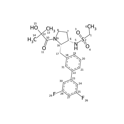 CCS(=O)(=O)N[C@H]1CCN(C(=O)C(C)(C)O)[C@H]1Cc1cccc(-c2cc(F)cc(F)c2)c1